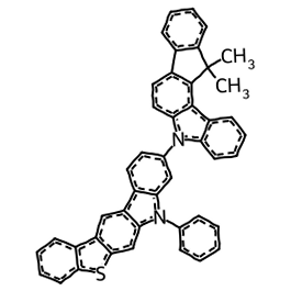 CC1(C)c2ccccc2-c2ccc3c(c21)c1ccccc1n3-c1ccc2c3cc4c(cc3n(-c3ccccc3)c2c1)sc1ccccc14